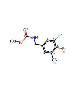 CC(C)(C)OC(=O)NCc1cc(F)c(Br)c(C#N)c1